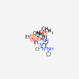 CCOP(=O)(OCC)C(OC)[C@@H]1O[C@@H](n2ncc3c(NC4CCCC4)nc(Cl)nc32)[C@@H]2OC(C)(C)O[C@H]21